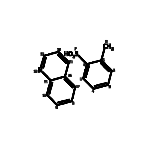 Cc1ccccc1S(=O)(=O)O.c1ccc2ncccc2c1